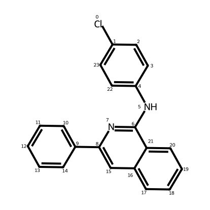 Clc1ccc(Nc2nc(-c3ccccc3)cc3ccccc23)cc1